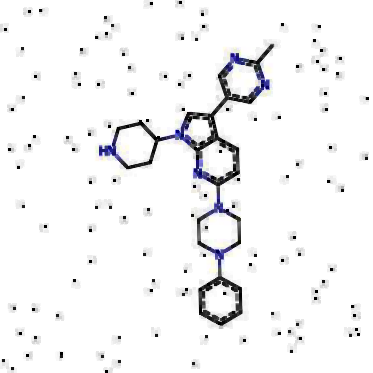 Cc1ncc(-c2cn(C3CCNCC3)c3nc(N4CCN(c5cc[c]cc5)CC4)ccc23)cn1